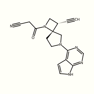 C#C[C@H]1CN(C(=O)CC#N)[C@]12CCN(c1ncnc3[nH]ccc13)C2